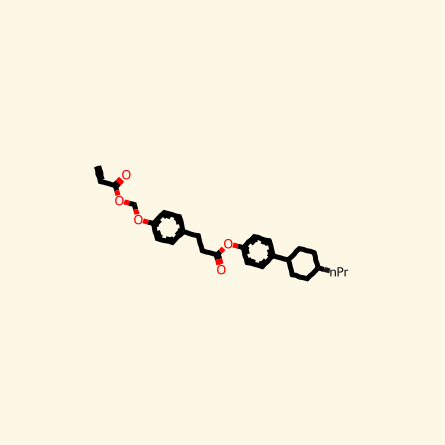 C=CC(=O)OCOc1ccc(CCC(=O)Oc2ccc(C3CCC(CCC)CC3)cc2)cc1